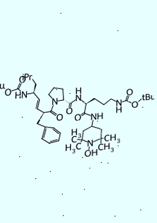 CC(C)C[C@@H](/C=C/[C@H](Cc1ccccc1)C(=O)N1CCC[C@@H]1C(=O)N[C@@H](CCCNC(=O)OC(C)(C)C)C(=O)NC1CC(C)(C)N(O)C(C)(C)C1)NC(=O)OC(C)(C)C